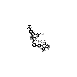 Cc1ncsc1-c1ccc([C@H](C)NC(=O)[C@@H]2C[C@@H](O)CN2C(=O)[C@@H](NC(=O)Cc2cccc(-c3ccc(C4=N[C@@H](CC(=O)O)c5nnc(C)n5-c5sc(C)c(C)c54)cc3)c2)C(C)(C)C)cc1